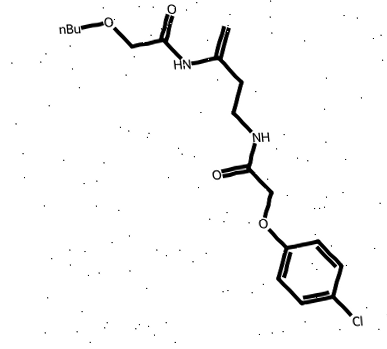 C=C(CCNC(=O)COc1ccc(Cl)cc1)NC(=O)COCCCC